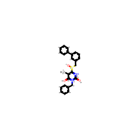 Cc1c([S+]([O-])Cc2cccc(-c3ccccc3)c2)[nH]c(=O)n(Cc2ccccc2)c1=O